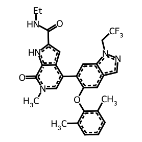 CCNC(=O)c1cc2c(-c3cc4c(cnn4CC(F)(F)F)cc3Oc3c(C)cccc3C)cn(C)c(=O)c2[nH]1